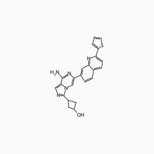 Nc1nc(-c2ccc3ccc(-c4cccs4)nc3c2)cn2c(C3CC(O)C3)ncc12